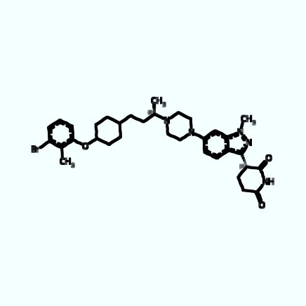 Cc1c(Br)cccc1OC1CCC(CC[C@@H](C)N2CCN(c3ccc4c([C@H]5CCC(=O)NC5=O)nn(C)c4c3)CC2)CC1